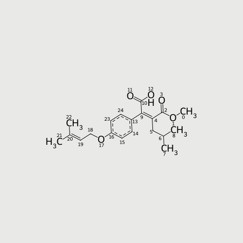 COC(=O)/C(CC(C)C)=C(\C(=O)O)c1ccc(OCC=C(C)C)cc1